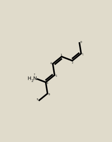 C\C=C/C=C\C=C(/N)CC